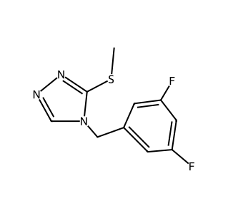 CSc1nncn1Cc1cc(F)cc(F)c1